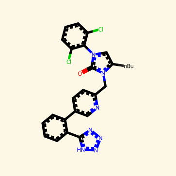 CCCCc1cn(-c2c(Cl)cccc2Cl)c(=O)n1Cc1ccc(-c2ccccc2-c2nnn[nH]2)cn1